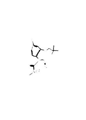 CNC(=O)N(N=N)c1ccc(F)cc1OCC(C)(C)F